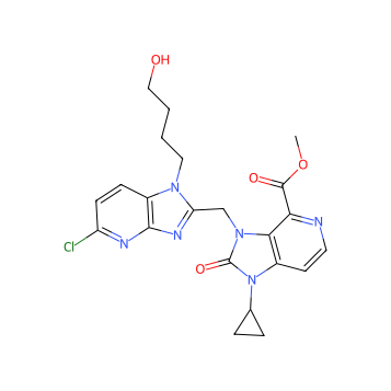 COC(=O)c1nccc2c1n(Cc1nc3nc(Cl)ccc3n1CCCCO)c(=O)n2C1CC1